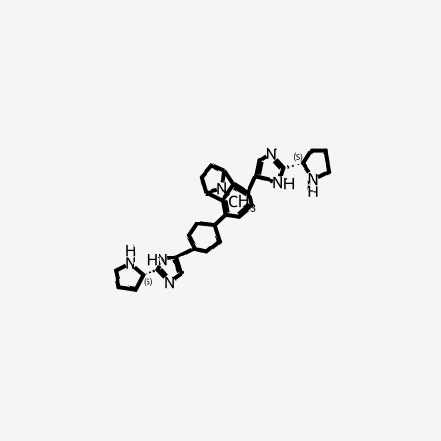 CN1C2CCC1c1c(C3CCC(c4cnc([C@@H]5CCCN5)[nH]4)CC3)ccc(-c3cnc([C@@H]4CCCN4)[nH]3)c12